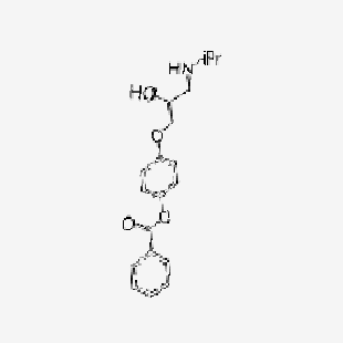 CC(C)NCC(O)COc1ccc(OC(=O)c2ccccc2)cc1